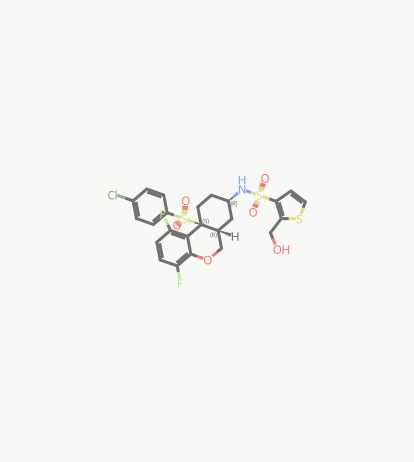 O=S(=O)(N[C@@H]1CC[C@@]2(S(=O)(=O)c3ccc(Cl)cc3)c3c(F)ccc(F)c3OC[C@H]2C1)c1ccsc1CO